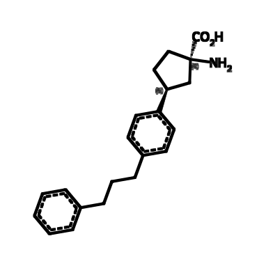 N[C@]1(C(=O)O)CC[C@H](c2ccc(CCCc3ccccc3)cc2)C1